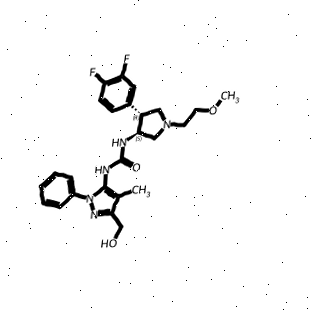 COCCN1C[C@@H](NC(=O)Nc2c(C)c(CO)nn2-c2ccccc2)[C@H](c2ccc(F)c(F)c2)C1